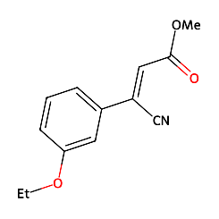 CCOc1cccc(C(C#N)=CC(=O)OC)c1